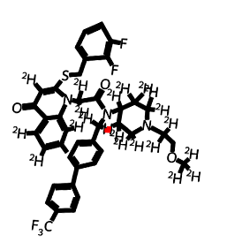 [2H]c1c(C)c([2H])c2c(c1[2H])c(=O)c([2H])c(SCc1cccc(F)c1F)n2C([2H])([2H])C(=O)N(C([2H])([2H])c1ccc(-c2ccc(C(F)(F)F)cc2)cc1)C1([2H])C([2H])([2H])C([2H])([2H])N(C([2H])([2H])COC([2H])([2H])[2H])C([2H])([2H])C1([2H])[2H]